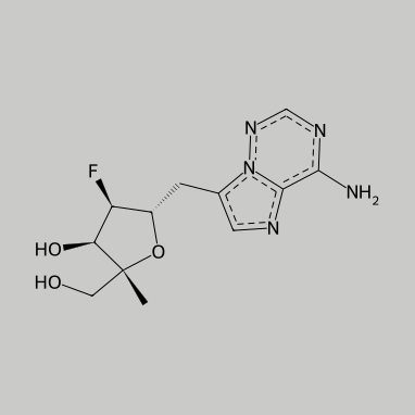 C[C@]1(CO)O[C@@H](Cc2cnc3c(N)ncnn23)[C@H](F)[C@@H]1O